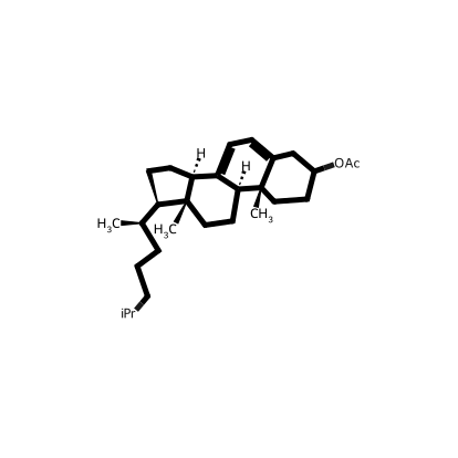 CC(=O)OC1CC[C@@]2(C)C(=CC=C3[C@@H]4CC[C@H]([C@H](C)CCCC(C)C)[C@@]4(C)CC[C@@H]32)C1